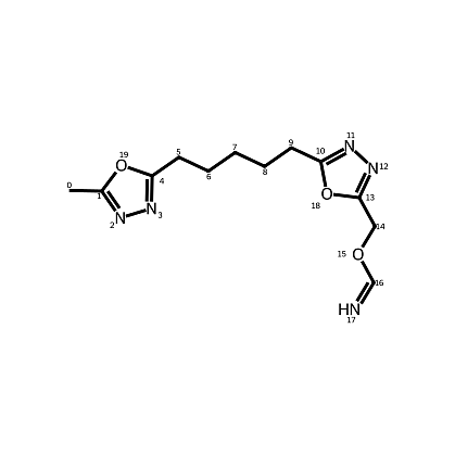 Cc1nnc(CCCCCc2nnc(COC=N)o2)o1